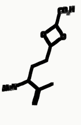 C=C(C)C(CCC1OC(C(=O)O)O1)NC